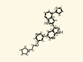 c1csc(-c2cccc3[nH]c(-c4n[nH]c5ncc(-c6cncc(OCCN7CCCC7)c6)cc45)cc23)c1